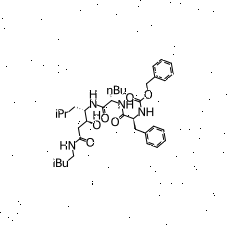 CCCC[C@H](NC(=O)[C@H](Cc1ccccc1)NC(=O)OCc1ccccc1)C(=O)N[C@@H](CC(C)C)[C@@H](O)CC(=O)NCC(C)CC